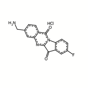 Cl.NCc1ccc2c(=O)n3c(nc2c1)C(=O)c1cc(F)ccc1-3